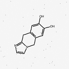 Oc1cc2c(cc1O)Cn1ccnc1C2